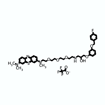 CN(CCOCCOCCOCCNCC(O)COc1cccc(OCc2ccc(F)cc2)c1)c1ccc2nc3ccc(=[N+](C)C)cc-3sc2c1.O=C([O-])C(F)(F)F